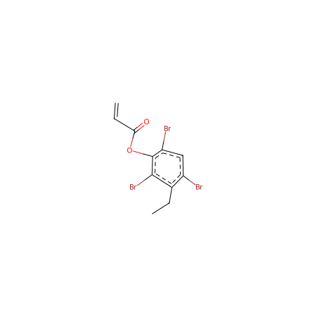 C=CC(=O)Oc1c(Br)cc(Br)c(CC)c1Br